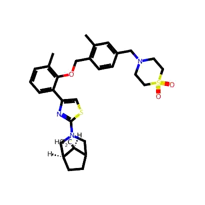 Cc1cc(CN2CCS(=O)(=O)CC2)ccc1COc1c(C)cccc1-c1csc(N2CC3CC[C@@H](C2)[C@H]3C(=O)O)n1